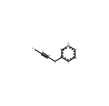 IC#CCc1[c]nccc1